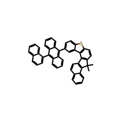 CC1(C)c2ccc3sc4ccc(-c5c6ccccc6c(-c6cccc7ccccc67)c6ccccc56)cc4c3c2-c2ccc3ccccc3c21